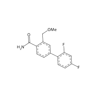 COCc1cc(-c2ccc(F)cc2F)ccc1C(N)=O